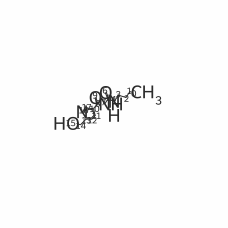 CCCCNC(=O)NC(=O)c1ccc(CO)nc1